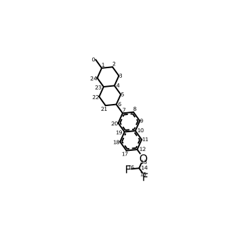 CC1CCC2CC(c3ccc4cc(OC(F)F)ccc4c3)CCC2C1